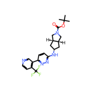 CC(C)(C)OC(=O)N1C[C@H]2C[C@H](Nc3ccc(-c4cnccc4C(F)(F)F)nn3)C[C@H]2C1